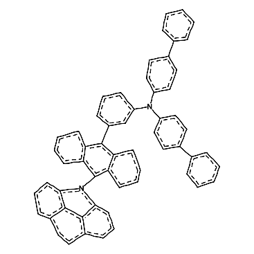 c1ccc(-c2ccc(N(c3ccc(-c4ccccc4)cc3)c3cccc(-c4c5ccccc5c(-n5c6cccc7ccc8cccc5c8c76)c5ccccc45)c3)cc2)cc1